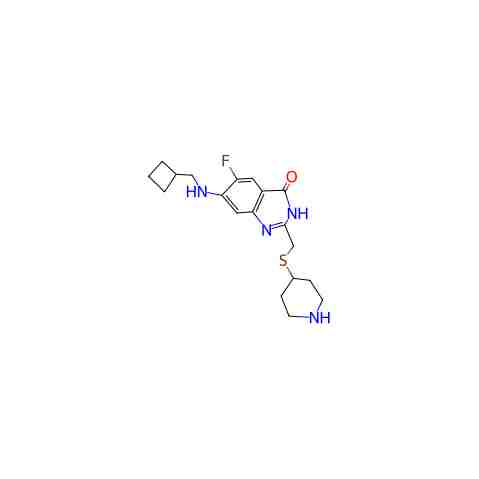 O=c1[nH]c(CSC2CCNCC2)nc2cc(NCC3CCC3)c(F)cc12